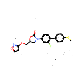 CSc1ccc(-c2ccc(N3CC(COc4ccon4)OC3=O)cc2F)cc1